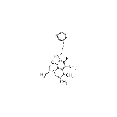 C=C1C(C)=CN2c3c(c(NCCCc4cccnc4)c(F)c(N)c31)OC[C@@H]2C